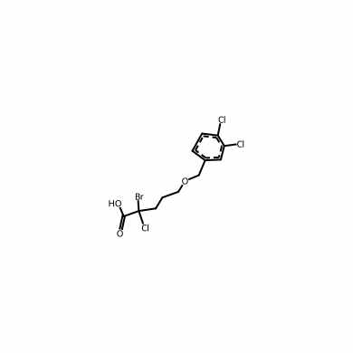 O=C(O)C(Cl)(Br)CCCOCc1ccc(Cl)c(Cl)c1